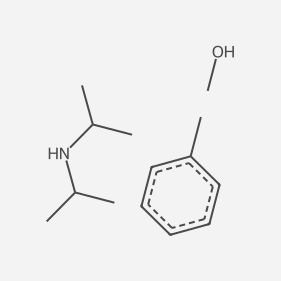 CC(C)NC(C)C.CO.Cc1ccccc1